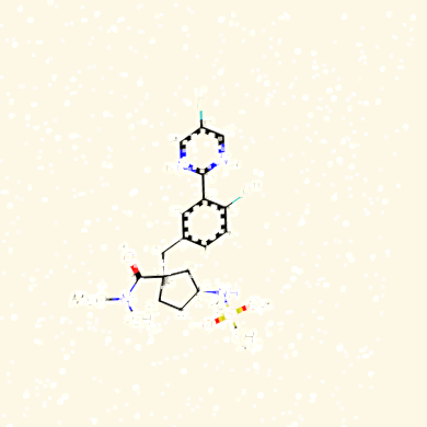 CON(C)C(=O)[C@@]1(Cc2ccc(F)c(-c3ncc(F)cn3)c2)CC[C@H](NS(C)(=O)=O)C1